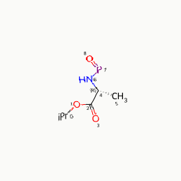 CC(C)OC(=O)[C@@H](C)NP=O